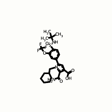 CC(C)(C)N[S+]([O-])c1ccc(-c2cc(C(=O)O)c(C(N)=O)n2CC2CCCCC2)cc1OC(F)(F)F